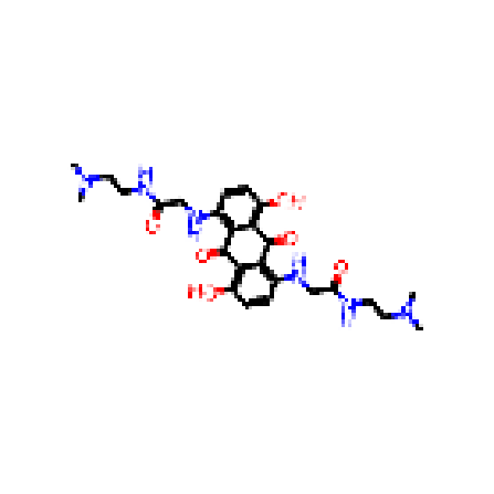 CN(C)CCNC(=O)CNc1ccc(O)c2c1C(=O)c1c(O)ccc(NCC(=O)NCCN(C)C)c1C2=O